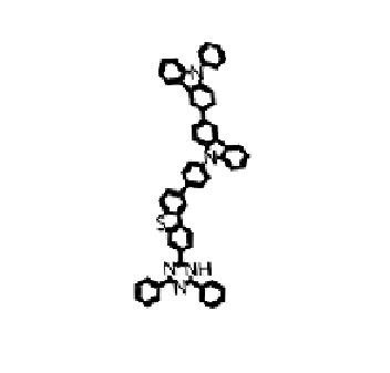 C1=c2c(n(-c3ccccc3)c3ccccc23)=CCC1c1ccc2c(c1)c1ccccc1n2-c1ccc(-c2ccc3sc4cc(C5=NC(c6ccccc6)=NC(c6ccccc6)N5)ccc4c3c2)cc1